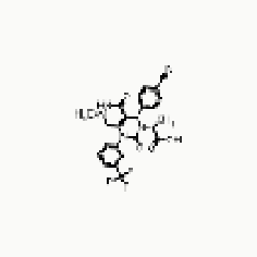 CC(C(=O)O)N1C(=O)N(c2cccc(C(F)(F)F)c2)C2=C(C(=O)NN(C)C2)[C@H]1c1ccc(C#N)cc1